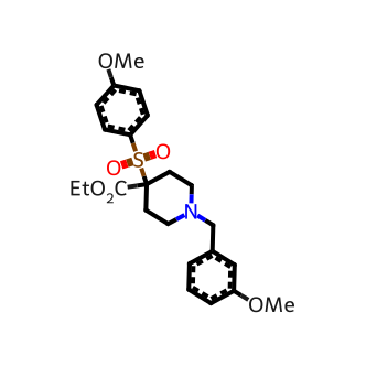 CCOC(=O)C1(S(=O)(=O)c2ccc(OC)cc2)CCN(Cc2cccc(OC)c2)CC1